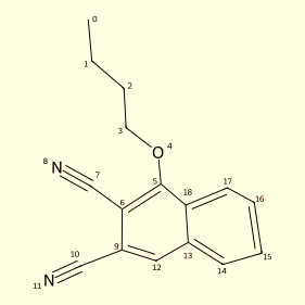 CCCCOc1c(C#N)c(C#N)cc2ccccc12